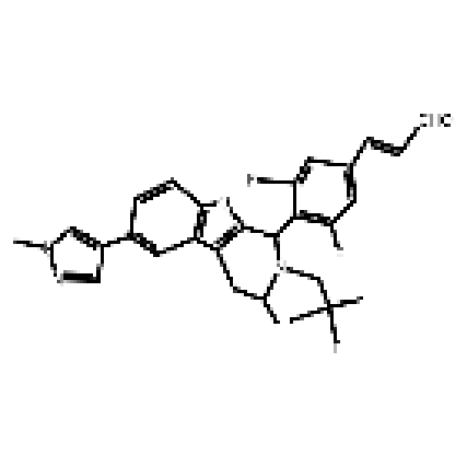 CC1Cc2c(oc3ccc(-c4cnn(C)c4)cc23)C(c2c(F)cc(/C=C/C=O)cc2F)N1CC(C)(C)F